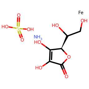 N.O=C1O[C@H](C(O)CO)C(O)=C1O.O=S(=O)(O)O.[Fe]